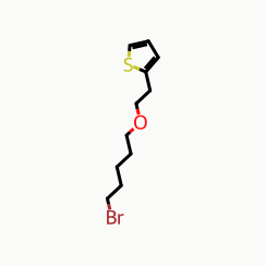 BrCCCCCOCCc1cccs1